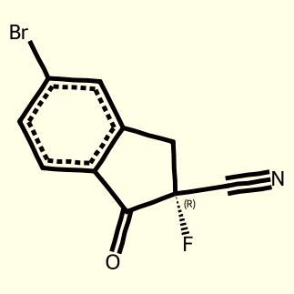 N#C[C@]1(F)Cc2cc(Br)ccc2C1=O